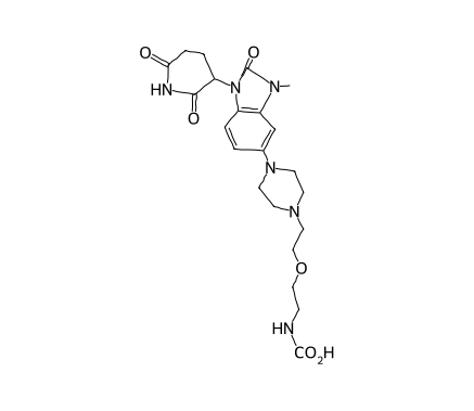 Cn1c(=O)n(C2CCC(=O)NC2=O)c2ccc(N3CCN(CCOCCNC(=O)O)CC3)cc21